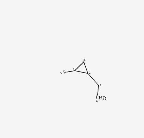 O=CCC1CC1F